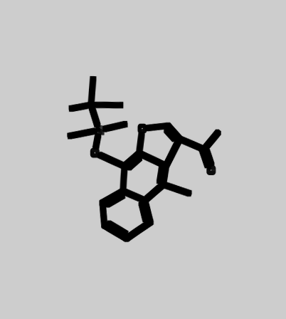 CC(=O)c1coc2c(O[Si](C)(C)C(C)(C)C)c3ccccc3c(C)c12